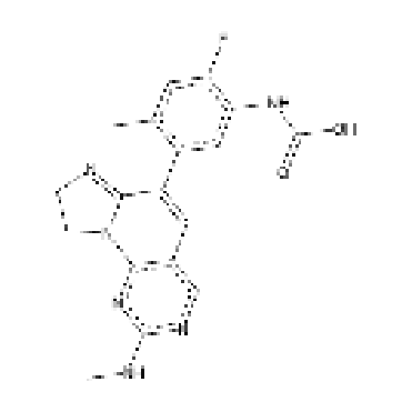 CNc1ncc2c(n1)N1CCN=C1C(c1cc(NC(=O)O)c(F)cc1C)=C2